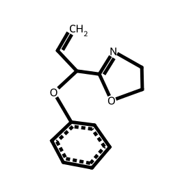 C=CC(Oc1ccccc1)C1=NCCO1